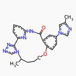 Cc1cn(-c2ccc3c(c2)C(=O)Nc2cccc(n2)-c2nncn2C(C)CCCO3)cn1